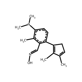 CC1=CCC(c2ccc(N(C)C)c(C)c2/C=N/O)=C1C